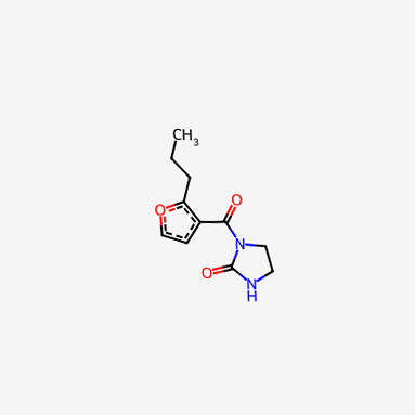 CCCc1occc1C(=O)N1CCNC1=O